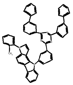 Cc1ccccc1-n1ccc2c1ccc1c3ccccc3n(-c3cccc(-c4nc(-c5cccc(-c6ccccc6)c5)nc(-c5cccc(-c6ccccc6)c5)n4)c3)c12